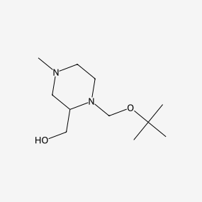 CN1CCN(COC(C)(C)C)C(CO)C1